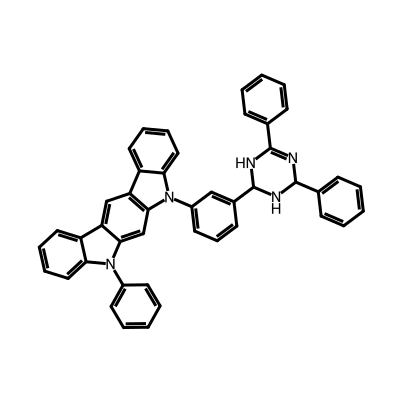 c1ccc(C2=NC(c3ccccc3)NC(c3cccc(-n4c5ccccc5c5cc6c7ccccc7n(-c7ccccc7)c6cc54)c3)N2)cc1